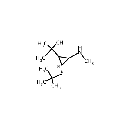 CNC1C(C(C)(C)C)[C@H]1CC(C)(C)C